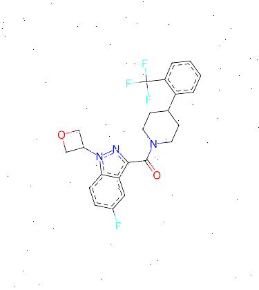 O=C(c1nn(C2COC2)c2ccc(F)cc12)N1CCC(c2ccccc2C(F)(F)F)CC1